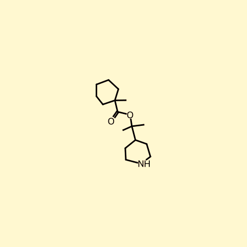 CC1(C(=O)OC(C)(C)C2CCNCC2)CCCCC1